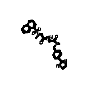 CN(Cc1ccc(C2=NCCN2)cc1)C(=O)CNC(=O)CN(C)S(=O)(=O)c1cccc2ccccc12